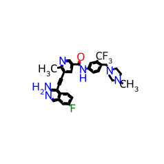 Cc1ncc(C(=O)Nc2ccc(CN3CCN(C)CC3)c(C(F)(F)F)c2)cc1C#Cc1c(N)ncc2cc(F)ccc12